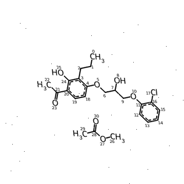 CCCc1c(OCC(O)COc2ccccc2Cl)ccc(C(C)=O)c1O.COC(C)=O